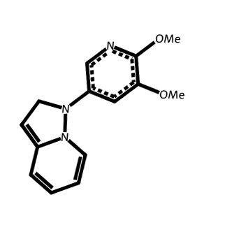 COc1cc(N2CC=C3C=CC=CN32)cnc1OC